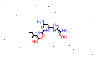 CCC(C)[C@H](NC(=O)CN[C@@H](CC(N)=O)c1nc([C@@H](N)CO)no1)C(=O)O